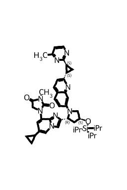 Cc1ccnc([C@H]2C[C@@H]2c2ccc3ccc(N4C[C@@H](O[Si](C(C)C)(C(C)C)C(C)C)C[C@@H]4c4cn5cc(C6CC6)cc(N6CC(=O)N(C)C6=O)c5n4)cc3n2)n1